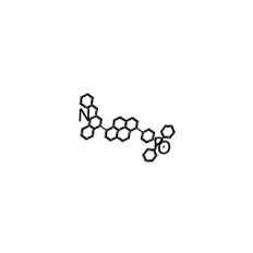 O=P(c1ccccc1)(c1ccccc1)c1ccc(-c2ccc3ccc4c(-c5cc6cc7ccccc7nc6c6ccccc56)ccc5ccc2c3c54)cc1